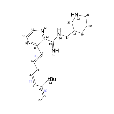 C/C=C(\C=C/C/C=C/c1nccnc1C(=N)NCC1CCCNC1)C(C)(C)C